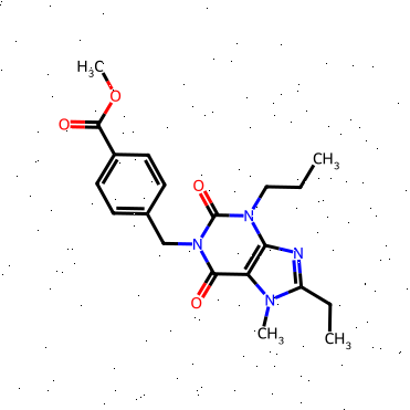 CCCn1c(=O)n(Cc2ccc(C(=O)OC)cc2)c(=O)c2c1nc(CC)n2C